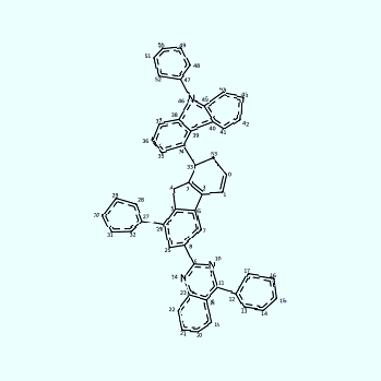 C1=CC2=C(Cc3c2cc(-c2nc(-c4ccccc4)c4ccccc4n2)cc3-c2ccccc2)C(c2cccc3c2c2ccccc2n3-c2ccccc2)C1